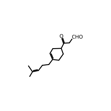 CC(C)=CCCC1=CCC(C(=O)CC=O)CC1